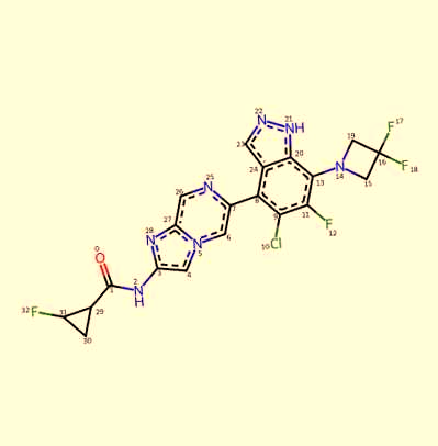 O=C(Nc1cn2cc(-c3c(Cl)c(F)c(N4CC(F)(F)C4)c4[nH]ncc34)ncc2n1)C1CC1F